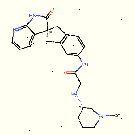 O=C(CN[C@H]1CCCN(C(=O)O)C1)Nc1ccc2c(c1)C[C@@]1(C2)C(=O)Nc2ncccc21